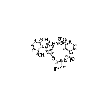 Cc1cccc(C)c1-c1nc2cc(n1)OC[C@@H](CC(C)C)NC(=O)c1cccc(c1)S(=O)(=O)N2